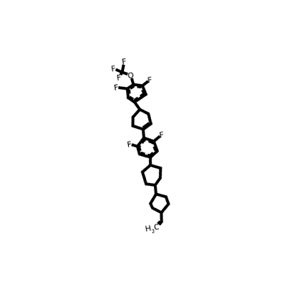 C=CC1CCC(C2CCC(c3cc(F)c(C4=CCC(c5cc(F)c(OC(F)(F)F)c(F)c5)CC4)c(F)c3)CC2)CC1